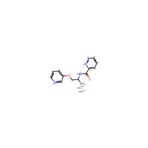 CC(COc1cccnc1)NC(=O)c1ccccn1.Cl.Cl